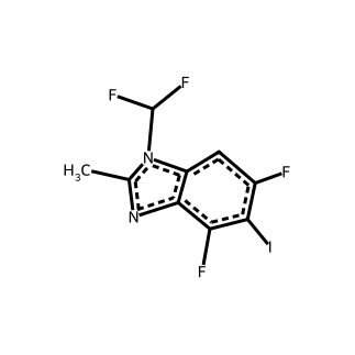 Cc1nc2c(F)c(I)c(F)cc2n1C(F)F